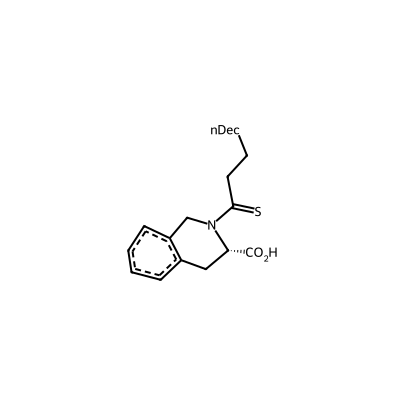 CCCCCCCCCCCCC(=S)N1Cc2ccccc2C[C@H]1C(=O)O